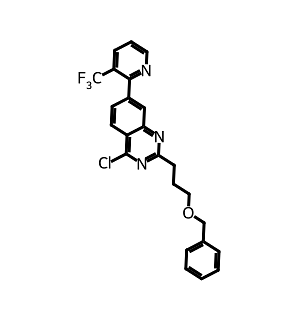 FC(F)(F)c1cccnc1-c1ccc2c(Cl)nc(CCCOCc3ccccc3)nc2c1